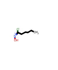 CCCCC/C(Cl)=N\O